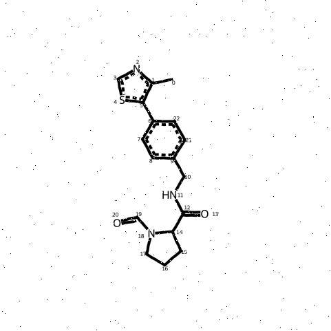 Cc1ncsc1-c1ccc(CNC(=O)C2CCCN2C=O)cc1